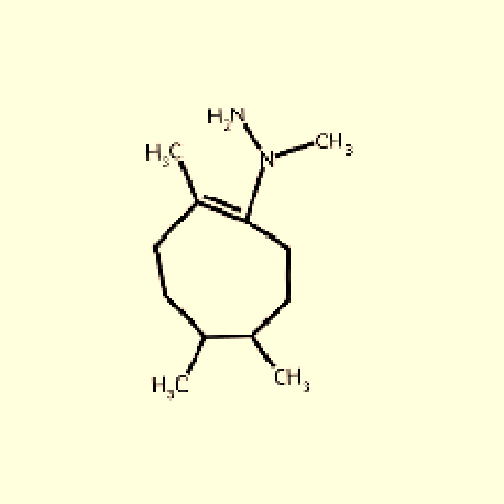 C/C1=C(\N(C)N)CCC(C)C(C)CC1